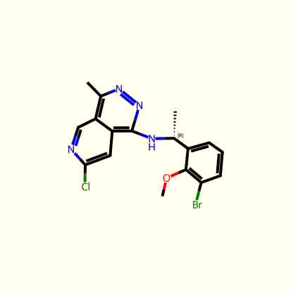 COc1c(Br)cccc1[C@@H](C)Nc1nnc(C)c2cnc(Cl)cc12